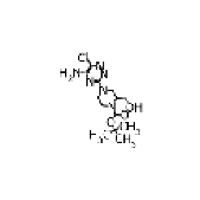 CC(C)(C)OC(=O)N1CCN(c2nnc(Cl)c(N)n2)CC1CO